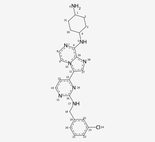 NC1CCC(Nc2nccn3c(-c4ccnc(NCc5cccc(Cl)c5)n4)cnc23)CC1